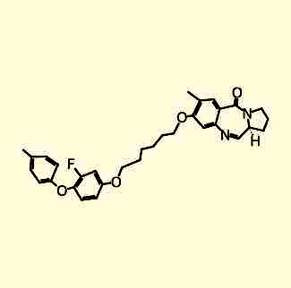 Cc1ccc(Oc2ccc(OCCCCCCOc3cc4c(cc3C)C(=O)N3CCC[C@H]3C=N4)cc2F)cc1